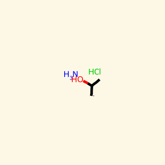 Cl.N.[CH2]C(C)O